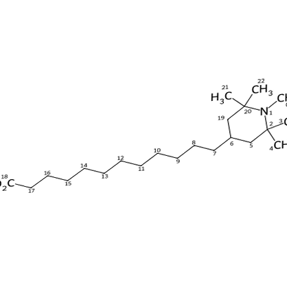 CN1C(C)(C)CC(CCCCCCCCCCCC(=O)O)CC1(C)C